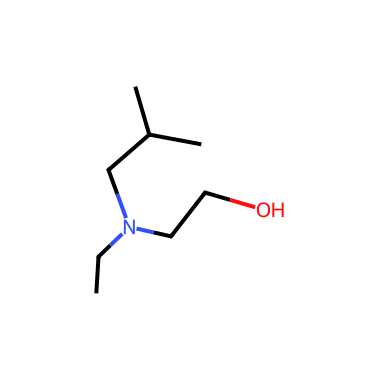 CCN(CCO)CC(C)C